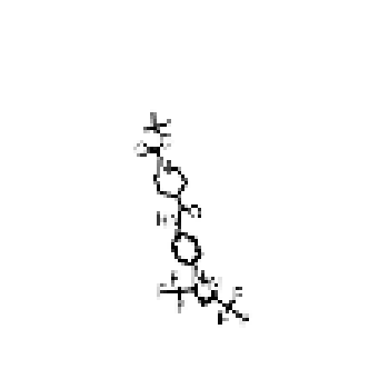 CC(C)(C)OC(=O)N1CCC(C(=O)Nc2ccc(-n3nc(C(F)(F)F)cc3C(F)(F)F)cc2)CC1